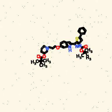 CC(C)(C)OC(=O)n1nc(-c2cc3ccc(OCCCN4CCCC(OC(=O)C(C)(C)C)C4)cc3[nH]2)c2sc(-c3ccccc3)cc21